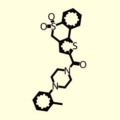 Cc1ccccc1N1CCN(C(=O)c2cc3c(s2)-c2ccccc2S(=O)(=O)C3)CC1